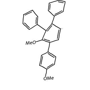 COc1ccc(-c2c[c]c(-c3ccccc3)c(-c3ccccc3)c2OC)cc1